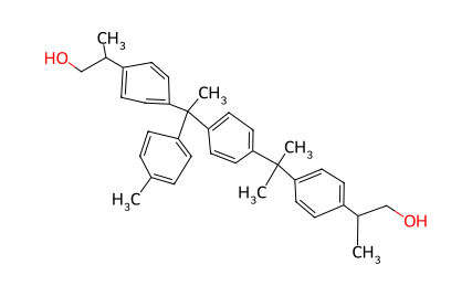 Cc1ccc(C(C)(c2ccc(C(C)CO)cc2)c2ccc(C(C)(C)c3ccc(C(C)CO)cc3)cc2)cc1